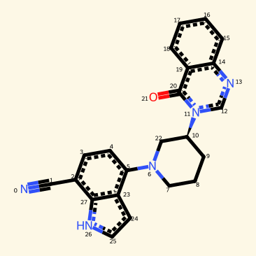 N#Cc1ccc(N2CCC[C@H](n3cnc4ccccc4c3=O)C2)c2cc[nH]c12